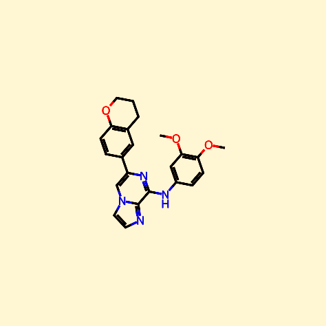 COc1ccc(Nc2nc(-c3ccc4c(c3)CCCO4)cn3ccnc23)cc1OC